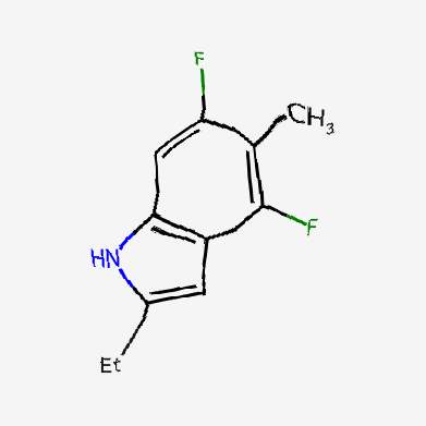 CCc1cc2c(F)c(C)c(F)cc2[nH]1